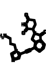 NCCCn1cncc1C#Cc1cccc2c1CN(C1CCC(=O)NC1=O)C2=O